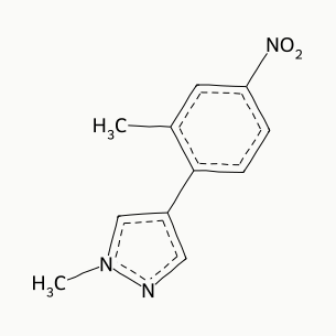 Cc1cc([N+](=O)[O-])ccc1-c1cnn(C)c1